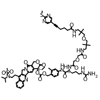 CC[C@@]1(OC(=O)OCc2ccc(NC(=O)[C@H](CCCNC(N)=O)NC(=O)COCC(=O)NCC(C)(C)COCC(C)(C)CNC(=O)CCCC#Cc3cnc(SC)nc3)cc2C)C(=O)OCc2c1cc1n(c2=O)Cc2c-1nc1ccccc1c2CCN(C(C)C)S(C)(=O)=O